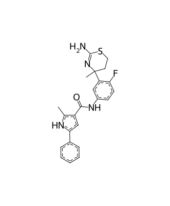 Cc1[nH]c(-c2ccccc2)cc1C(=O)Nc1ccc(F)c(C2(C)CCSC(N)=N2)c1